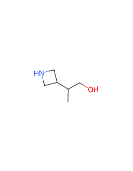 CC(CO)C1CNC1